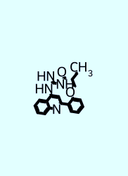 CCCCOc1ccccc1-c1cc(NC(=N)NC=O)c2ccccc2n1